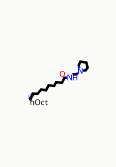 CCCCCCCC/C=C\CCCCCCCC(=O)NCCN1CCCCC1